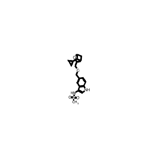 CS(=O)(=O)Nc1c[nH]c2ccc(COCC3OC4CC3C4C3CC3)cc12